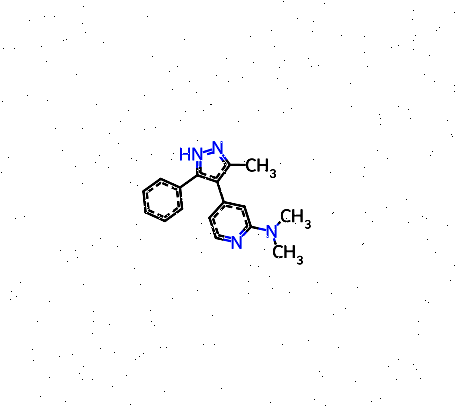 Cc1n[nH]c(-c2ccccc2)c1-c1ccnc(N(C)C)c1